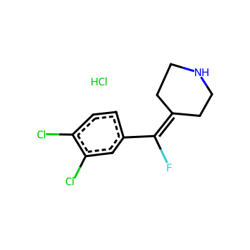 Cl.FC(=C1CCNCC1)c1ccc(Cl)c(Cl)c1